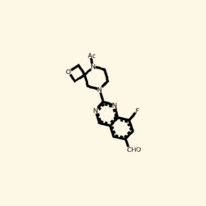 CC(=O)N1CCN(c2ncc3cc(C=O)cc(F)c3n2)CC12COC2